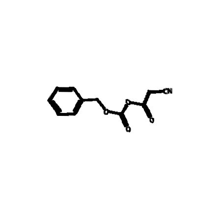 N#CCC(=O)OC(=O)OCc1ccccc1